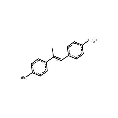 C/C(=C\c1ccc(C(=O)O)cc1)c1ccc(C(C)(C)C)cc1